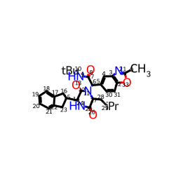 Cc1nc2cc(C(C(=O)NC(C)(C)C)N3C(=O)C(C4Cc5ccccc5C4)NC(=O)C3CC(C)C)ccc2o1